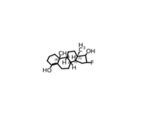 C[C@]12CCCC(O)=C1CC[C@@H]1[C@H]2CC[C@]2(C)C(O)C(F)C[C@@H]12